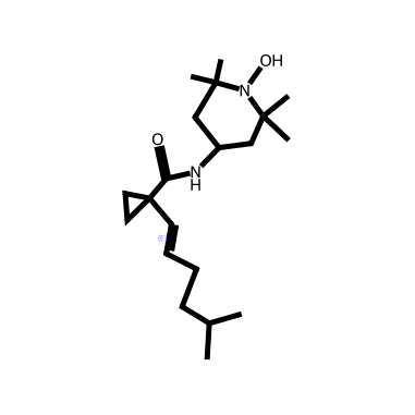 CC(C)CC/C=C/C1(C(=O)NC2CC(C)(C)N(O)C(C)(C)C2)CC1